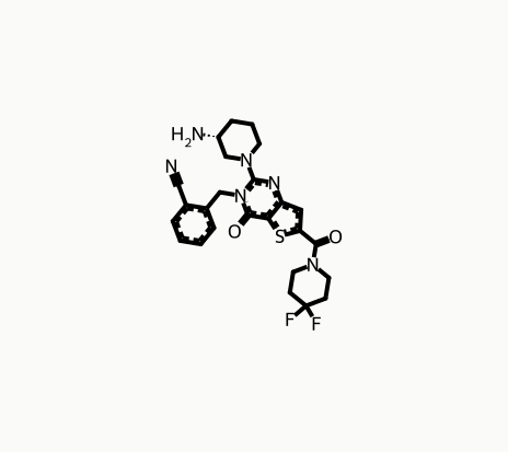 N#Cc1ccccc1Cn1c(N2CCC[C@@H](N)C2)nc2cc(C(=O)N3CCC(F)(F)CC3)sc2c1=O